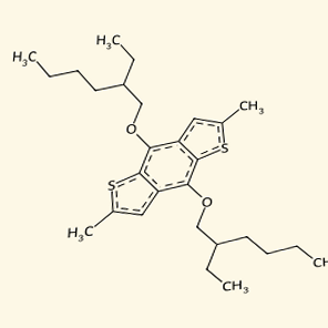 CCCCC(CC)COc1c2cc(C)sc2c(OCC(CC)CCCC)c2cc(C)sc12